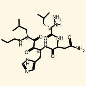 CCCN[C@@H](CC(C)C)C(=O)C(=O)[C@H](Cc1cnc[nH]1)NC(=O)C(CC(N)=O)NC(=O)[C@H](CC(C)C)NN